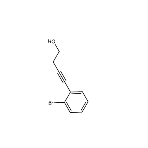 OCCC#Cc1ccccc1Br